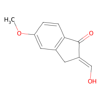 COc1ccc2c(c1)CC(=CO)C2=O